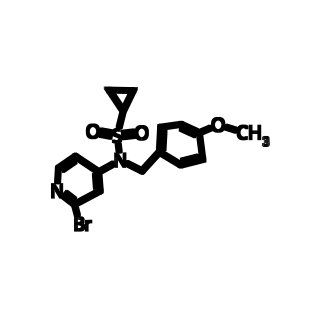 COc1ccc(CN(c2ccnc(Br)c2)S(=O)(=O)C2CC2)cc1